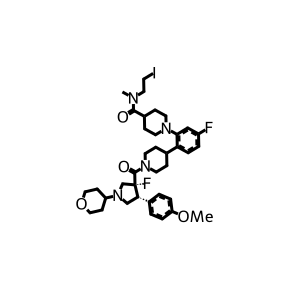 COc1ccc([C@@H]2CN(C3CCOCC3)C[C@@]2(F)C(=O)N2CCC(c3ccc(F)cc3N3CCC(C(=O)N(C)CCI)CC3)CC2)cc1